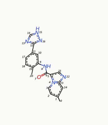 Cc1ccn2c(C(=O)Nc3cc(-c4nc[nH]n4)ccc3C)cnc2c1